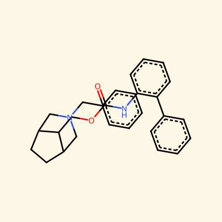 O=C(Nc1ccccc1-c1ccccc1)OCC1C2CCC1CN(Cc1ccccc1)C2